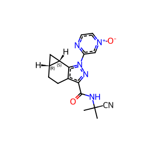 CC(C)(C#N)NC(=O)c1nn(-c2c[n+]([O-])ccn2)c2c1CC[C@@H]1C[C@H]21